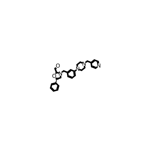 O=CC1O[C@H](c2ccccc2)CN1Cc1cccc(N2CCN(Cc3ccncc3)CC2)c1